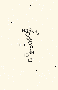 Cl.NC(=O)c1cc(S(=O)(=O)c2ccc(OCCNC[C@@H](O)c3ccccc3)cc2)ccc1O